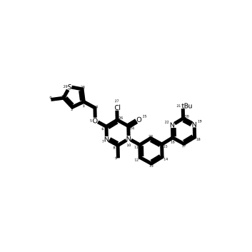 Cc1cc(COc2nc(C)n(-c3cccc(-c4ccnc(C(C)(C)C)n4)c3)c(=O)c2Cl)cs1